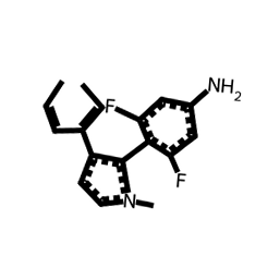 C/C=C\C(=C/C)c1ccn(C)c1-c1c(F)cc(N)cc1F